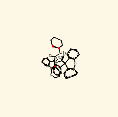 CN(C(=O)C1(c2cccc3c2C(O)(C(=O)NC2CN4CCC2CC4)c2ccccc2-3)c2ccccc2Oc2ccccc21)C1CN2CCC1CC2